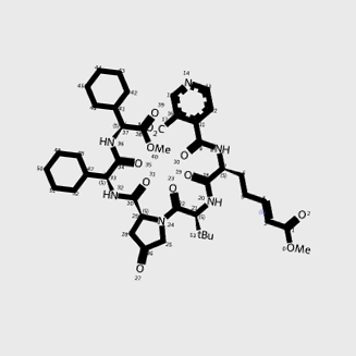 COC(=O)/C=C/CC[C@H](NC(=O)c1ccncc1C(=O)O)C(=O)N[C@H](C(=O)N1CC(=O)C[C@H]1C(=O)N[C@H](C(=O)N[C@H](C(=O)OC)C1CCCCC1)C1CCCCC1)C(C)(C)C